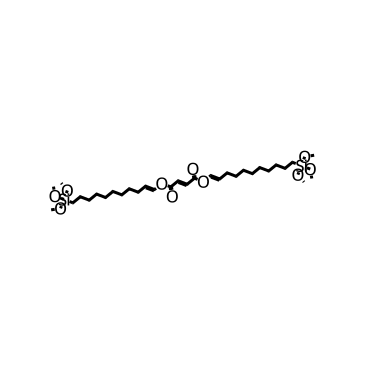 CO[Si](CCCCCCCCCC=COC(=O)/C=C/C(=O)OC=CCCCCCCCCC[Si](OC)(OC)OC)(OC)OC